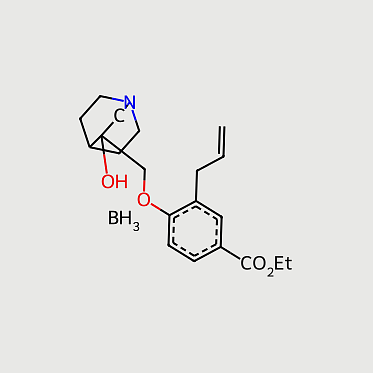 B.C=CCc1cc(C(=O)OCC)ccc1OCC1(O)CN2CCC1CC2